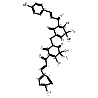 CC1(O)C(=O)C(CC2=C(O)C(C)(O)C(O)=C(C(=O)/C=C/c3ccc(O)cc3)C2=O)C(=O)C(C(=O)/C=C/c2ccc(O)cc2)=C1O